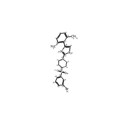 Cc1cccc(C)c1-c1csc(N2CCC(S(=O)(=O)c3cccc(Br)c3)CC2)n1